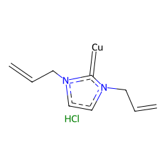 C=CCn1ccn(CC=C)[c]1=[Cu].Cl